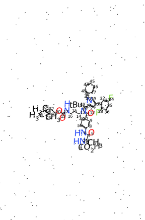 C[C@H](NC(=O)O)C(=O)Nc1ccc(C(=O)N(CCCNC(=O)OCC[Si](C)(C)C)[C@@H](c2cc(-c3cc(F)ccc3F)cn2Cc2ccccc2)C(C)(C)C)cc1